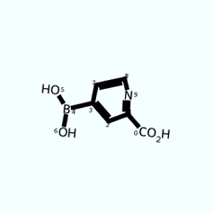 O=C(O)c1cc(B(O)O)ccn1